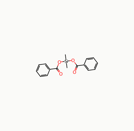 C[Si](C)(OC(=O)c1ccccc1)OC(=O)c1ccccc1